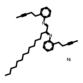 CC#CCCc1ccccc1/N=C/C(CCCCCCCCCCCCC)=N/c1ccccc1CCC#CC.[Ni]